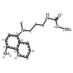 CN(CCCNC(=O)OC(C)(C)C)c1ccc(N)c2ncccc12